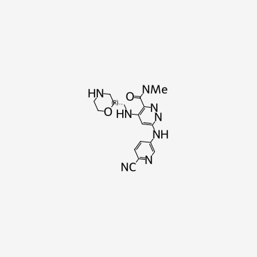 CNC(=O)c1nnc(Nc2ccc(C#N)nc2)cc1NC[C@H]1CNCCO1